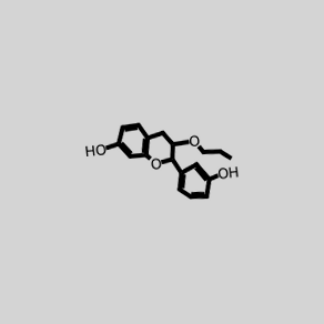 CCCOC1Cc2ccc(O)cc2OC1c1cccc(O)c1